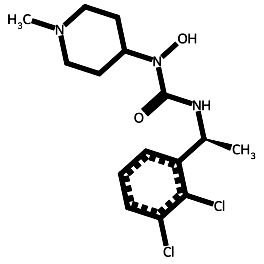 C[C@H](NC(=O)N(O)C1CCN(C)CC1)c1cccc(Cl)c1Cl